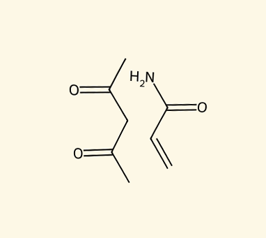 C=CC(N)=O.CC(=O)CC(C)=O